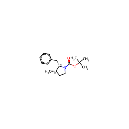 C[C@@H]1CCN(C(=O)OC(C)(C)C)[C@H]1Cc1ccccc1